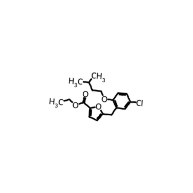 CCOC(=O)c1ccc(Cc2cc(Cl)ccc2OCCC(C)C)o1